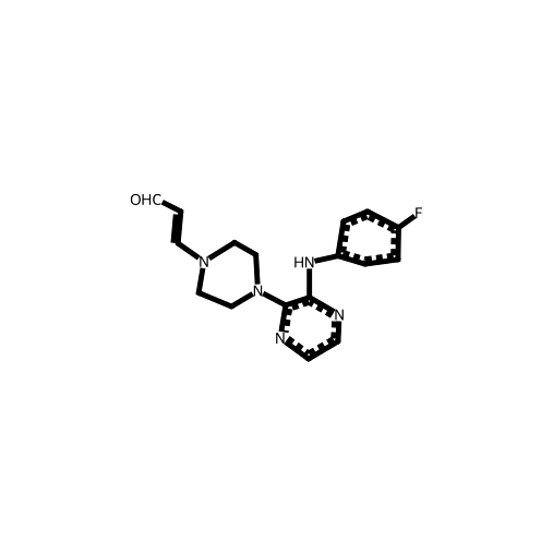 O=CC=CN1CCN(c2nccnc2Nc2ccc(F)cc2)CC1